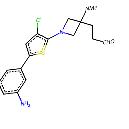 CNC1(CCC=O)CN(c2sc(-c3cccc(N)c3)cc2Cl)C1